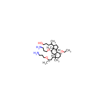 CCO[C@@H]1CCC(C)(CC[C@H](C)OCCCN)[C@H]2C[C@H](OCCCN)C3(C)C([C@H](C)CCCO)CC[C@H]3C12